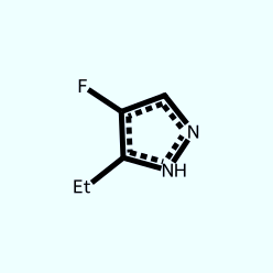 CCc1[nH]ncc1F